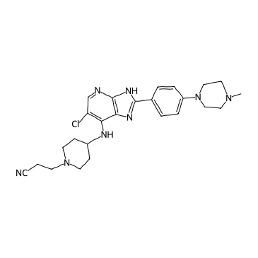 CN1CCN(c2ccc(-c3nc4c(NC5CCN(CCC#N)CC5)c(Cl)cnc4[nH]3)cc2)CC1